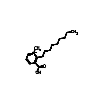 CCCCCCCCCc1c(C(=O)O)ccc[n+]1C